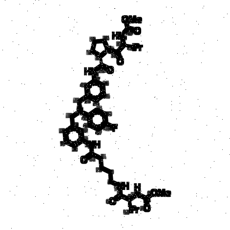 COC(=O)N[C@H](C(=O)NCCCCC(=O)Nc1cccc(CN(Cc2cccc(NC(=O)[C@@H]3CCCN3C(=O)[C@@H](NC(=O)OC)C(C)C)c2)c2ccc(F)cc2)c1)C(C)C